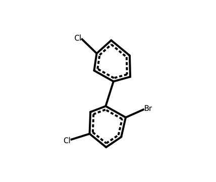 Clc1cccc(-c2cc(Cl)ccc2Br)c1